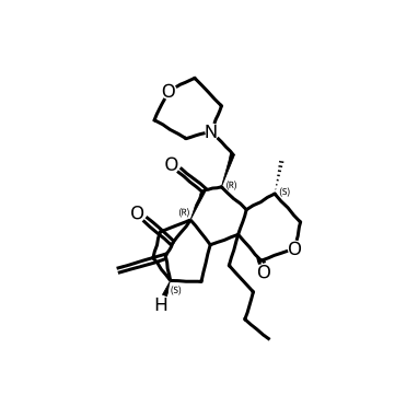 C=C1C(=O)[C@]23CC[C@H]1CC2C1(CCCC)C(=O)OC[C@@H](C)C1[C@H](CN1CCOCC1)C3=O